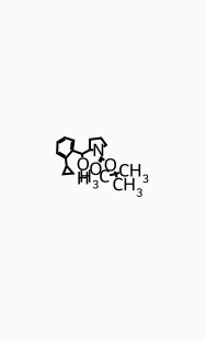 CC(C)(C)OC(=O)N1CCCC1C(O)c1ccccc1C1CC1